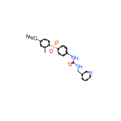 COc1ccc(S(=O)(=O)c2ccc(NC(=O)NCc3cccnc3)cc2)c(C)c1